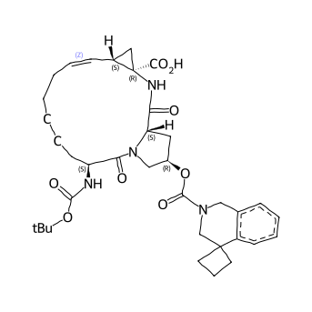 CC(C)(C)OC(=O)N[C@H]1CCCCC/C=C\[C@@H]2C[C@@]2(C(=O)O)NC(=O)[C@@H]2C[C@@H](OC(=O)N3Cc4ccccc4C4(CCC4)C3)CN2C1=O